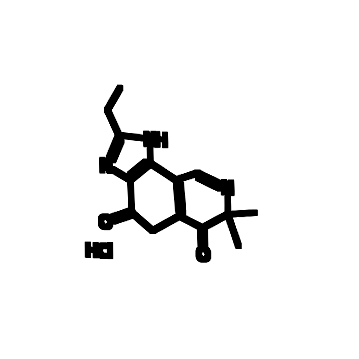 CCc1nc2c([nH]1)C1=C(CC2=O)C(=O)C(C)(C)N=C1.Cl